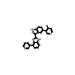 Cc1ccncc1-c1ccc2[nH]nc(-c3nc4c(-c5cccnc5)cccc4[nH]3)c2c1